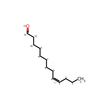 CCC/C=C\CCCCCCCC=O